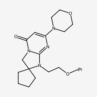 CC(C)OCCN1c2nc(N3CCOCC3)cc(=O)n2CC12CCCC2